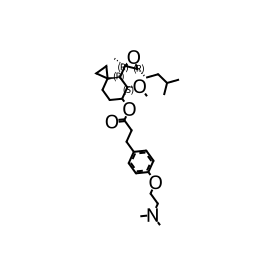 CO[C@@H]1C(OC(=O)CCc2ccc(OCCN(C)C)cc2)CCC2(CC2)[C@H]1[C@@]1(C)O[C@@H]1CCC(C)C